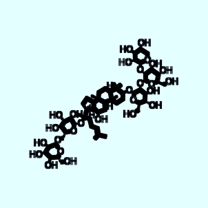 CC(C)=CCC[C@](C)(O[C@@H]1O[C@H](CO[C@@H]2O[C@H](CO)[C@@H](O)[C@H](O)[C@H]2O)[C@@H](O)[C@H](O)[C@H]1O)[C@H]1CC[C@]2(C)[C@@H]1[C@H](O)C[C@@H]1[C@@]3(C)CC[C@H](O[C@@H]4O[C@H](CO)[C@@H](O)[C@H](O)[C@H]4O[C@@H]4O[C@H](CO)[C@@H](O)[C@H](O)[C@H]4O[C@@H]4OC[C@@H](O)[C@H](O)[C@H]4O)C(C)(C)[C@@H]3CC[C@]12C